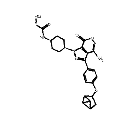 CC(C)(C)OC(=O)N[C@H]1CC[C@@H](n2nc(-c3ccc(OC4CC5C6C4C56)cc3)c3c(N)n[nH]c(=O)c32)CC1